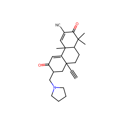 C#CC12CCC3C(C)(C)C(=O)C(C#N)=CC3(C)C1=CC(=O)C(CN1CCCC1)C2